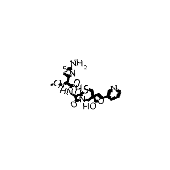 CON=C(C(=O)NC1C(=O)N2CC(C=Cc3cccnc3)(C(=O)O)CS[C@H]12)c1csc(N)n1